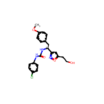 COc1ccc(C[C@H](NC(=O)Nc2ccc(Cl)cc2)c2cc(CCO)on2)cc1